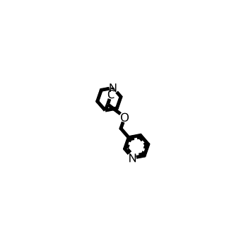 c1cncc(COC2CN3CCC2CC3)c1